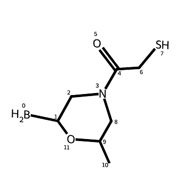 BC1CN(C(=O)CS)CC(C)O1